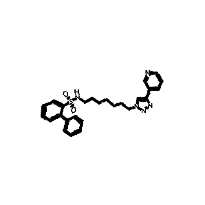 O=S(=O)(NCCCCCCCn1cc(-c2cccnc2)nn1)c1ccccc1-c1ccccc1